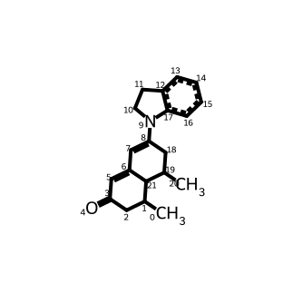 CC1CC(=O)C=C2C=C(N3CCc4ccccc43)CC(C)C21